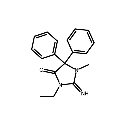 CCN1C(=N)N(C)C(c2ccccc2)(c2ccccc2)C1=O